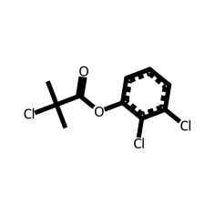 CC(C)(Cl)C(=O)Oc1cccc(Cl)c1Cl